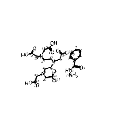 NNC(=O)c1ccccc1.O=C(O)CN(CCN(CC(=O)O)CC(=O)O)CCN(CC(=O)O)CC(=O)O